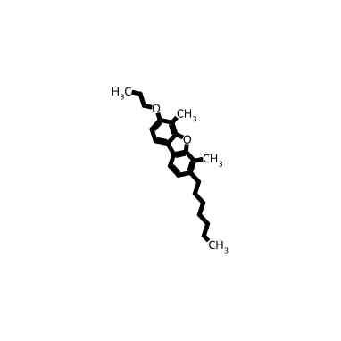 CCCCCCCc1ccc2c(oc3c(C)c(OCCC)ccc32)c1C